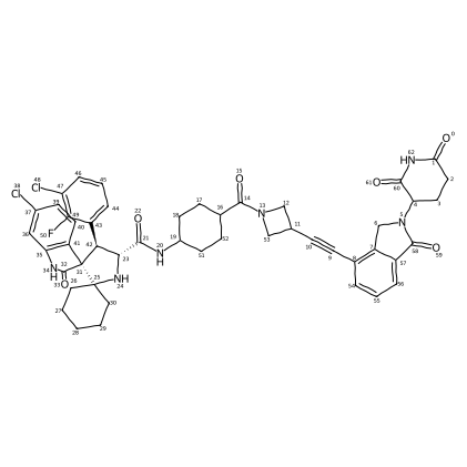 O=C1CCC(N2Cc3c(C#CC4CN(C(=O)C5CCC(NC(=O)[C@@H]6NC7(CCCCC7)[C@@]7(C(=O)Nc8cc(Cl)ccc87)[C@H]6c6cccc(Cl)c6F)CC5)C4)cccc3C2=O)C(=O)N1